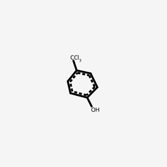 Oc1ccc(C(Cl)(Cl)Cl)cc1